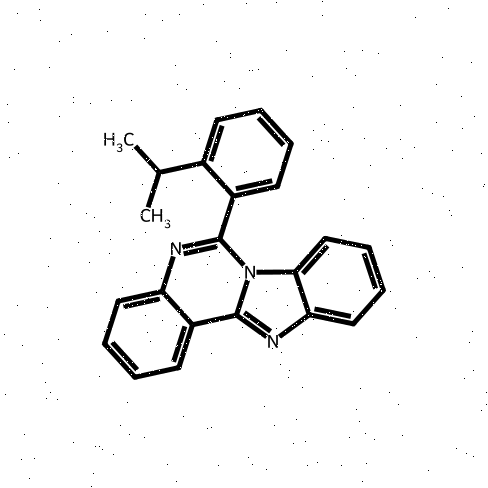 CC(C)c1ccccc1-c1nc2ccccc2c2nc3ccccc3n12